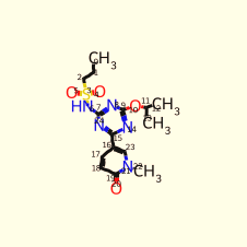 CCCS(=O)(=O)Nc1nc(OC(C)C)nc(-c2ccc(=O)n(C)c2)n1